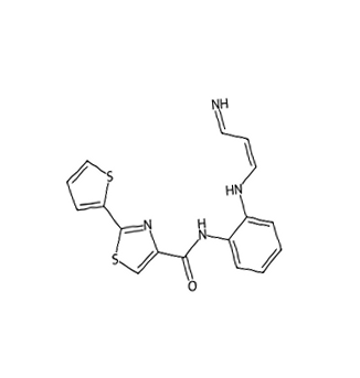 N=C/C=C\Nc1ccccc1NC(=O)c1csc(-c2cccs2)n1